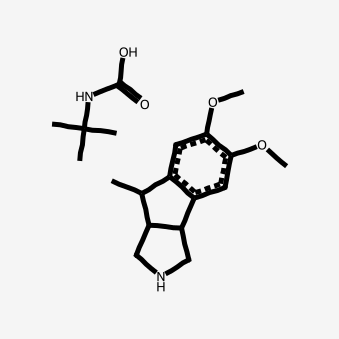 CC(C)(C)NC(=O)O.COc1cc2c(cc1OC)C1CNCC1C2C